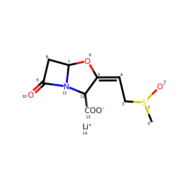 C[S+]([O-])CC=C1OC2CC(=O)N2C1C(=O)[O-].[Li+]